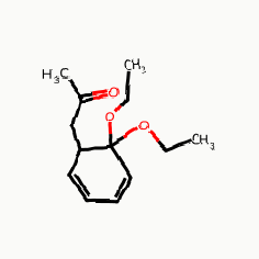 CCOC1(OCC)C=CC=CC1CC(C)=O